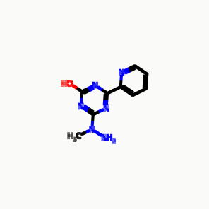 CN(N)c1nc(O)nc(-c2ccccn2)n1